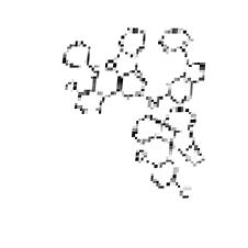 Clc1ccc2c(c1)C1(c3cc(N(c4cc(-c5cccc6c5Sc5ccccc5O6)c5oc6ccccc6c5c4)c4ccc5ccn(-c6ccccc6)c5c4)ccc3O2)c2ccccc2-c2ccccc21